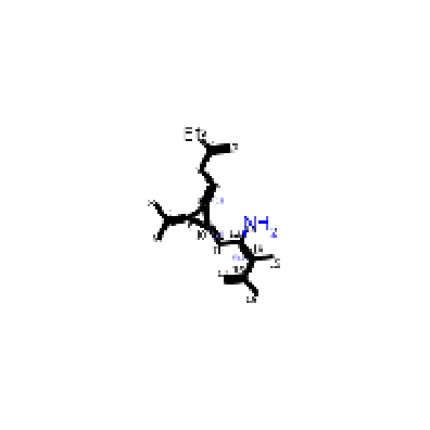 C=C(CC)C\C=C1/C(=C(C)C)/C1=C/C(N)=C(/C)C(=C)C